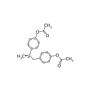 CC(=O)Oc1ccc(C[C@@H](C)c2ccc(OC(C)=O)cc2)cc1